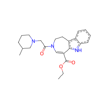 CCOC(=O)C1=CN(C(=O)CN2CCCC(C)C2)CCc2c1[nH]c1ccccc21